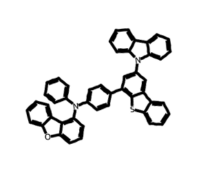 c1ccc(N(c2ccc(-c3cc(-n4c5ccccc5c5ccccc54)cc4c3sc3ccccc34)cc2)c2cccc3oc4ccccc4c23)cc1